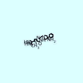 CC1=C(c2cc3nc(CN4CCC(N)(C5C=CC=CC5)CC4)[nH]c(=O)c3s2)CNN1